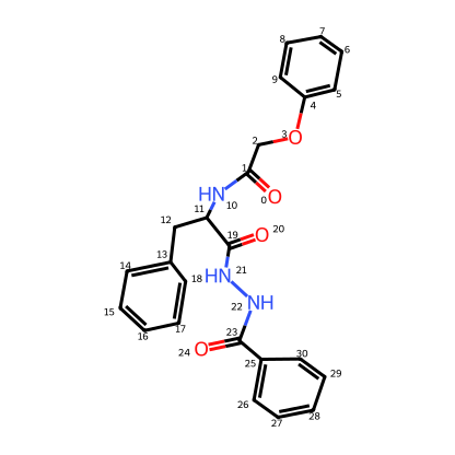 O=C(COc1ccccc1)NC(Cc1ccccc1)C(=O)NNC(=O)c1ccccc1